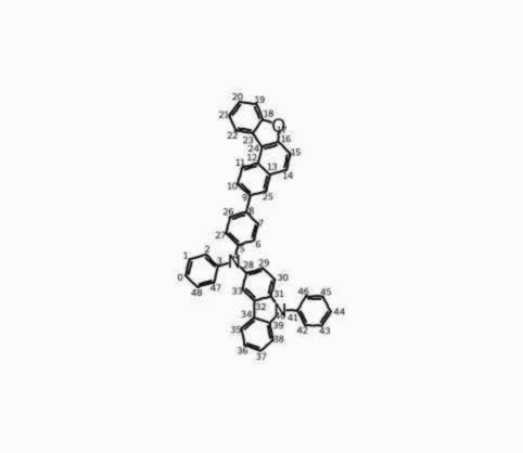 c1ccc(N(c2ccc(-c3ccc4c(ccc5oc6ccccc6c54)c3)cc2)c2ccc3c(c2)c2ccccc2n3-c2ccccc2)cc1